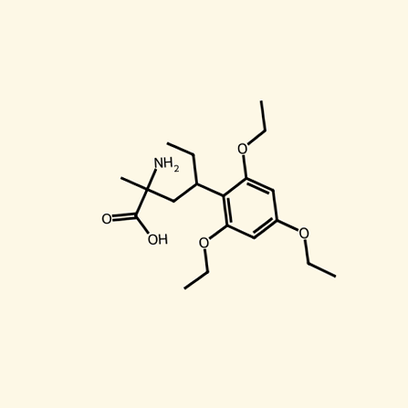 CCOc1cc(OCC)c(C(CC)CC(C)(N)C(=O)O)c(OCC)c1